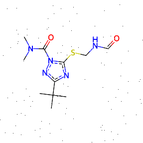 CN(C)C(=O)n1nc(C(C)(C)C)nc1SCNC=O